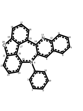 c1ccc(-n2c3cc4ccccc4nc3c3cccc4oc5cccc2c5c43)cc1